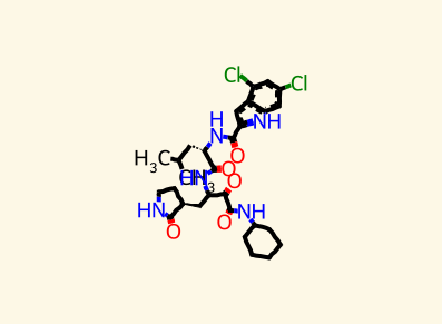 CC(C)C[C@H](NC(=O)c1cc2c(Cl)cc(Cl)cc2[nH]1)C(=O)NC(C[C@@H]1CCNC1=O)C(=O)C(=O)NC1CCCCC1